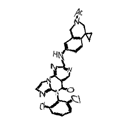 CC(=O)N1Cc2cc(Nc3ncc4c(=O)n(-c5c(Cl)cccc5Cl)c5nccn5c4n3)ccc2C2(CC2)C1